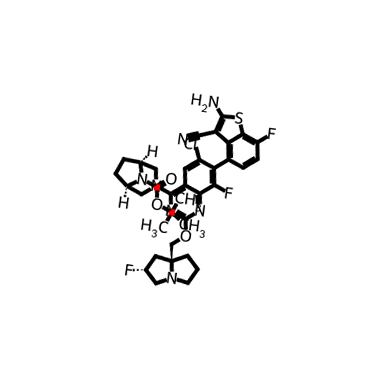 CC(C)(C)OC(=O)N1[C@@H]2CC[C@H]1CN(c1nc(OC[C@@]34CCCN3C[C@H](F)C4)nc3c(F)c(-c4ccc(F)c5sc(N)c(C#N)c45)c(Cl)cc13)C2